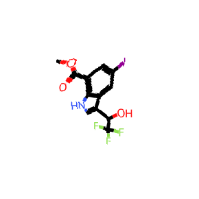 COC(=O)c1cc(I)cc2c(C(O)C(F)(F)F)c[nH]c12